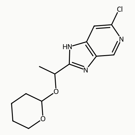 CC(OC1CCCCO1)c1nc2cnc(Cl)cc2[nH]1